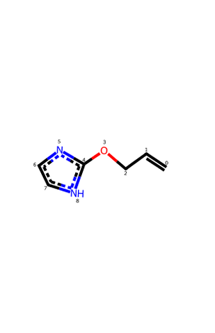 C=CCOc1ncc[nH]1